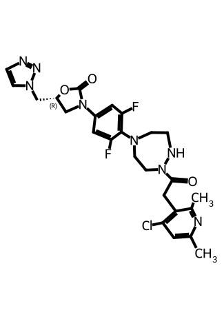 Cc1cc(Cl)c(CC(=O)N2CCN(c3c(F)cc(N4C[C@H](Cn5ccnn5)OC4=O)cc3F)CCN2)c(C)n1